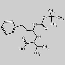 CC(C)[C@H](NC(CCc1ccccc1)NC(=O)OC(C)(C)C)C(=O)O